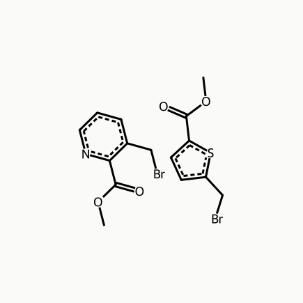 COC(=O)c1ccc(CBr)s1.COC(=O)c1ncccc1CBr